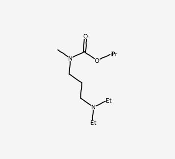 CCN(CC)CCCN(C)C(=O)OC(C)C